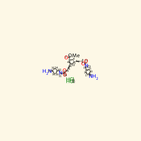 COC(=O)c1cc(C#CCOC(=O)N(C)Cc2ccc(N)cc2)cc(C#CCOC(=O)N(C)Cc2ccc(N)cc2)c1.Cl.Cl